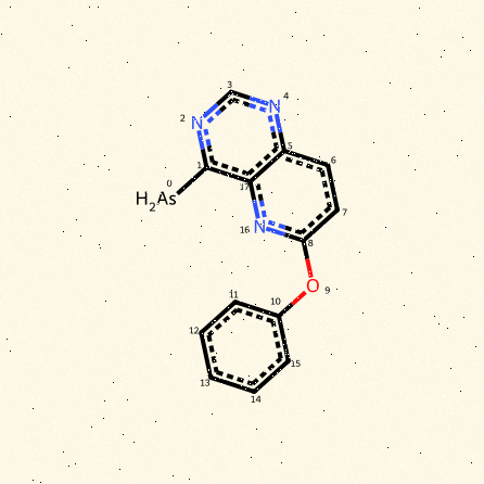 [AsH2]c1ncnc2ccc(Oc3ccccc3)nc12